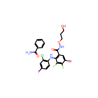 NC(=O)c1ccccc1.O=C(NOCCCO)c1cc(Br)c(F)c(F)c1Nc1ccc(I)cc1Cl